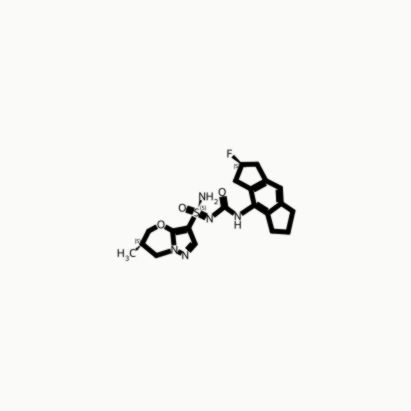 C[C@@H]1COc2c([S@@](N)(=O)=NC(=O)Nc3c4c(cc5c3C[C@@H](F)C5)CCC4)cnn2C1